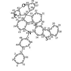 c1ccc(-c2ccc(N(c3ccc4c(c3)sc3ccccc34)c3cccc4c3-c3ccccc3C43c4ccccc4Oc4ccccc43)cc2)cc1